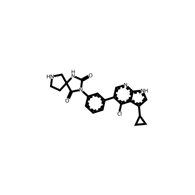 O=C1NC2(CCNC2)C(=O)N1c1cccc(-c2cnc3[nH]cc(C4CC4)c3c2Cl)c1